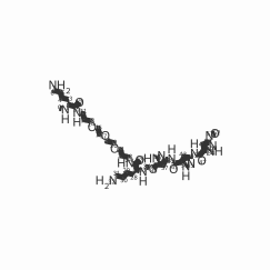 CN[C@@H](CCCCN)C(=O)NCCCOCCOCCOCCCNC(=O)[C@H](CCCCN)NCOc1cc(NC(=O)c2cc(NC(=O)c3cc(N=O)n[nH]3)n[nH]2)n[nH]1